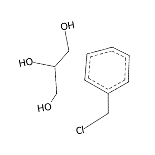 ClCc1ccccc1.OCC(O)CO